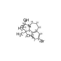 CC(C)(C)C1c2ccc(Br)cc2CCCN1C(=O)O